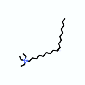 CCCCCCCC/C=C\CCCCCCCC[N+](CC)(CC)CC